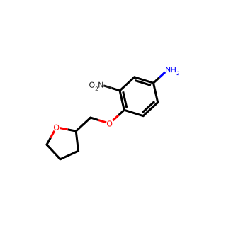 Nc1ccc(OCC2CCCO2)c([N+](=O)[O-])c1